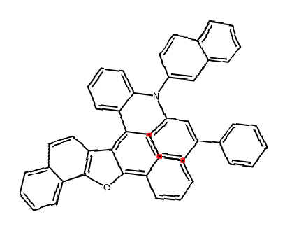 c1ccc(-c2cccc(N(c3ccc4ccccc4c3)c3ccccc3-c3cc4ccccc4c4oc5c6ccccc6ccc5c34)c2)cc1